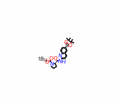 CC(C)(C)OC(=O)N1CCC[C@@H]1C(=O)Nc1ccc2cc(B3OC(C)(C)C(C)(C)O3)ccc2n1